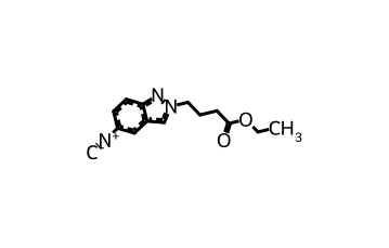 [C-]#[N+]c1ccc2nn(CCCC(=O)OCC)cc2c1